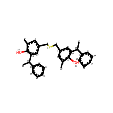 Cc1cc(CSCc2cc(C)c(O)c(C(C)c3ccccc3)c2)cc(C(C)c2ccccc2)c1O